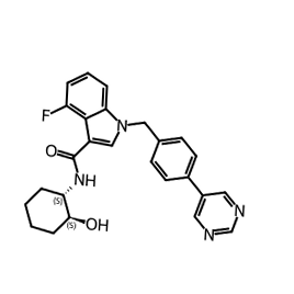 O=C(N[C@H]1CCCC[C@@H]1O)c1cn(Cc2ccc(-c3cncnc3)cc2)c2cccc(F)c12